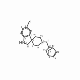 Cc1ccc2c(c1)C1(CCN(CC3CC4C=CC3C4)CC1)CN2